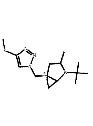 CSc1cn(C[C@@]23CC(C)N(C(C)(C)C)C2C3)nn1